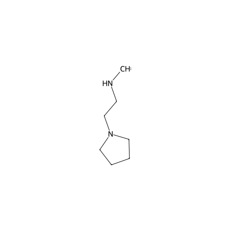 [CH]NCCN1CCCC1